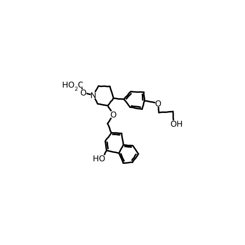 O=C(O)ON1CCC(c2ccc(OCCO)cc2)C(OCc2cc(O)c3ccccc3c2)C1